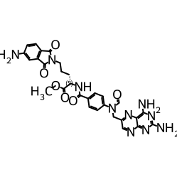 COC(=O)[C@H](CCCN1C(=O)c2ccc(N)cc2C1=O)NC(=O)c1ccc(N(C=O)Cc2cnc3nc(N)nc(N)c3n2)cc1